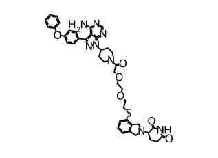 Nc1ncnc2c1c(-c1ccc(Oc3ccccc3)cc1)nn2C1CCN(C(=O)COCCOCCSc2cccc3c2CN(C2CCC(=O)NC2=O)C3)CC1